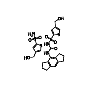 NS(=O)(=O)c1cc(CO)cs1.O=C(Nc1c2c(cc3c1CCC3)CCC2)NS(=O)(=O)c1cc(CO)cs1